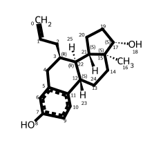 C=CC[C@@H]1Cc2cc(O)ccc2[C@H]2CC[C@]3(C)[C@@H](O)CC[C@H]3[C@H]12